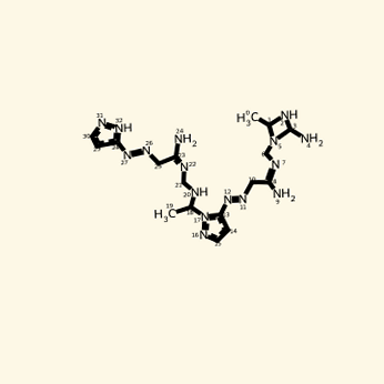 CC1NC(N)N1C/N=C(/N)C/N=N/c1ccnn1C(C)NC/N=C(/N)C/N=N/c1ccn[nH]1